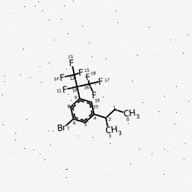 CCC(C)c1[c]c(Br)cc(C(F)(C(F)(F)F)C(F)(F)F)c1